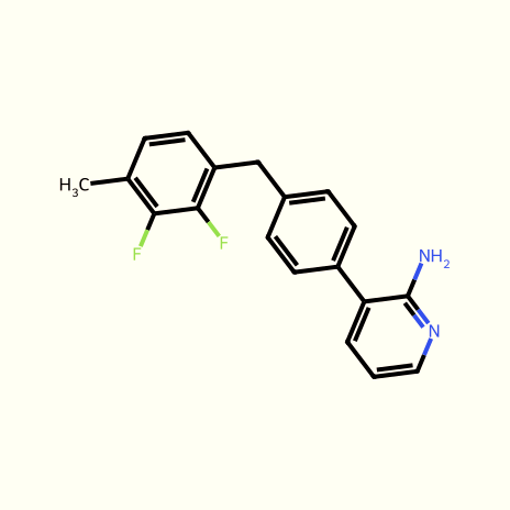 Cc1ccc(Cc2ccc(-c3cccnc3N)cc2)c(F)c1F